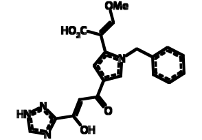 COC=C(C(=O)O)c1cc(C(=O)C=C(O)c2nc[nH]n2)cn1Cc1ccccc1